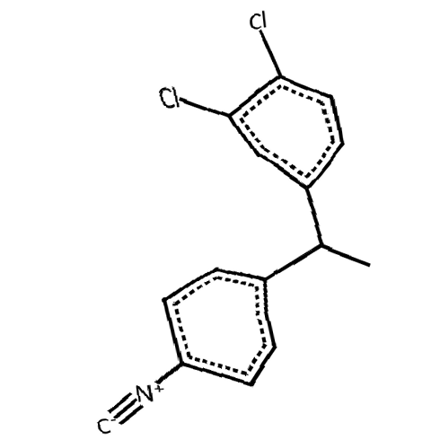 [C-]#[N+]c1ccc(C(C)c2ccc(Cl)c(Cl)c2)cc1